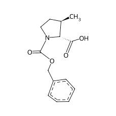 C[C@@H]1CCN(C(=O)OCc2ccccc2)[C@H]1C(=O)O